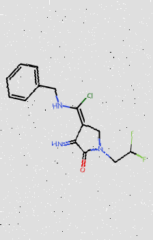 N=C1C(=O)N(CC(F)F)C/C1=C(\Cl)NCc1ccccc1